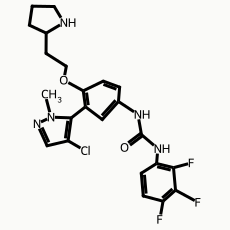 Cn1ncc(Cl)c1-c1cc(NC(=O)Nc2ccc(F)c(F)c2F)ccc1OCCC1CCCN1